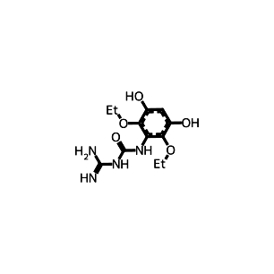 CCOc1c(O)cc(O)c(OCC)c1NC(=O)NC(=N)N